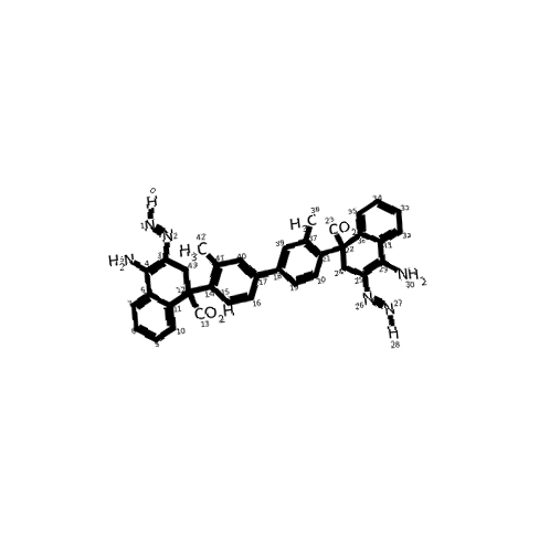 [H]/N=N/C1=C(N)c2ccccc2C(C(=O)O)(c2ccc(-c3ccc(C4(C(=O)O)CC(/N=N/[H])=C(N)c5ccccc54)c(C)c3)cc2C)C1